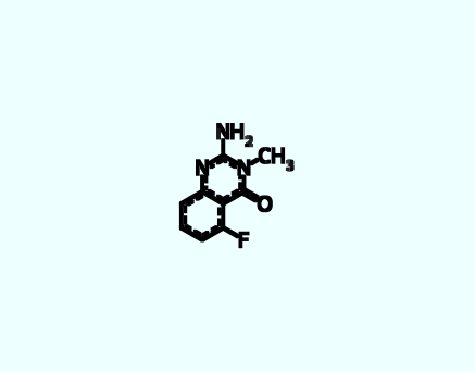 Cn1c(N)nc2cccc(F)c2c1=O